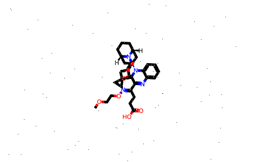 COCCO/N=C(\CCC(=O)O)c1nc2ccccc2n([C@H]2C[C@H]3CCC[C@@H](C2)N3C=C2C3CC2C32CC2)c1=O